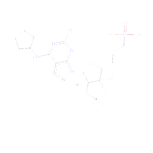 CC1(C)O[C@@H]2[C@H](O1)[C@@H](CSCP(=O)(O)O)O[C@H]2n1ncc2c(NC3CCCC3)nc(Cl)nc21